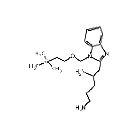 C[Si](C)(C)CCOCn1c(CC(N)CCCN)nc2ccccc21